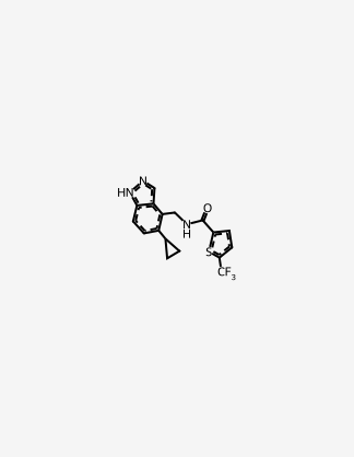 O=C(NCc1c(C2CC2)ccc2[nH]ncc12)c1ccc(C(F)(F)F)s1